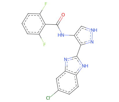 O=C(Nc1c[nH]nc1-c1nc2cc(Cl)ccc2[nH]1)c1c(F)cccc1F